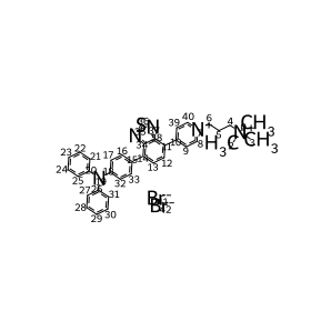 C[N+](C)(C)CCC[n+]1ccc(-c2ccc(-c3ccc(N(c4ccccc4)c4ccccc4)cc3)c3nsnc23)cc1.[Br-].[Br-]